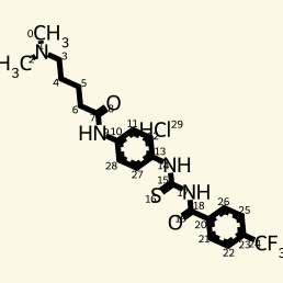 CN(C)CCCCC(=O)Nc1ccc(NC(=S)NC(=O)c2ccc(C(F)(F)F)cc2)cc1.Cl